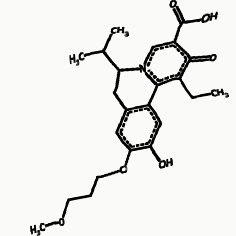 CCc1c2n(cc(C(=O)O)c1=O)C(C(C)C)Cc1cc(OCCCOC)c(O)cc1-2